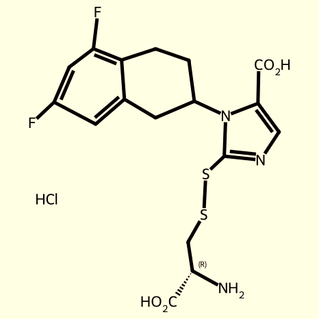 Cl.N[C@@H](CSSc1ncc(C(=O)O)n1C1CCc2c(F)cc(F)cc2C1)C(=O)O